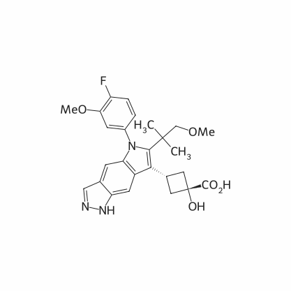 COCC(C)(C)c1c([C@H]2C[C@](O)(C(=O)O)C2)c2cc3[nH]ncc3cc2n1-c1ccc(F)c(OC)c1